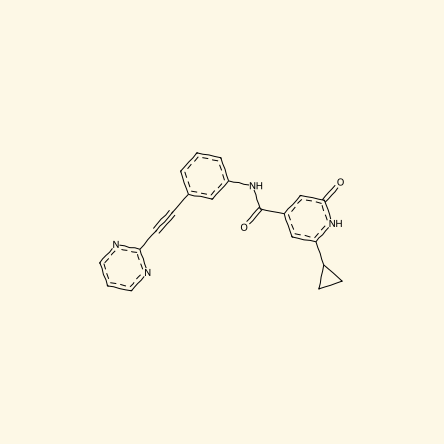 O=C(Nc1cccc(C#Cc2ncccn2)c1)c1cc(C2CC2)[nH]c(=O)c1